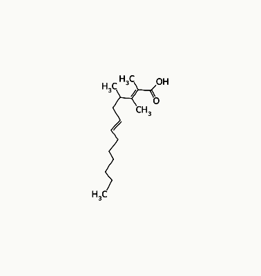 CCCCCC/C=C/CC(C)/C(C)=C(\C)C(=O)O